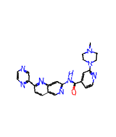 CN1CCN(c2cc(C(=O)Nc3cc4nc(-c5cnccn5)ccc4cn3)ccn2)CC1